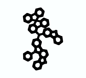 c1ccc(-n2c3ccc(N(c4ccc5oc6ccccc6c5c4)c4cccc5c4-c4ccccc4C54c5ccccc5-c5ccccc54)cc3c3ccc4oc5ccccc5c4c32)cc1